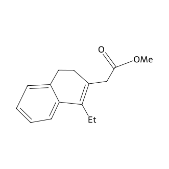 CCC1=C(CC(=O)OC)CCc2ccccc21